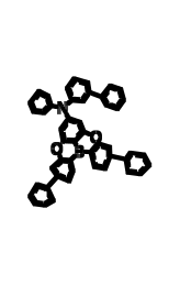 c1ccc(-c2cccc(N(c3ccccc3)c3cc4c5c(c3)Oc3cc(-c6ccccc6)ccc3B5c3ccc(-c5ccccc5)cc3O4)c2)cc1